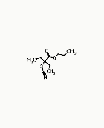 CCCOC(=O)C(CC)(CC)OC#N